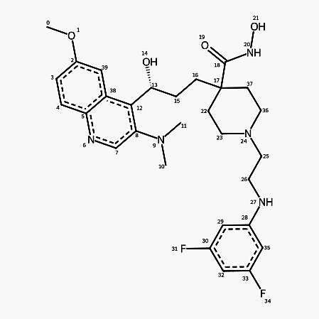 COc1ccc2ncc(N(C)C)c([C@H](O)CCC3(C(=O)NO)CCN(CCNc4cc(F)cc(F)c4)CC3)c2c1